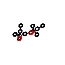 C1=CC(N(c2ccccc2)c2ccccc2)(N(c2ccccc2)c2ccc(-c3ccc(N(c4ccccc4)C4(N(c5ccccc5)c5ccccc5)C=CC(c5ccccc5)=CC4)cc3)cc2)CC=C1c1ccccc1